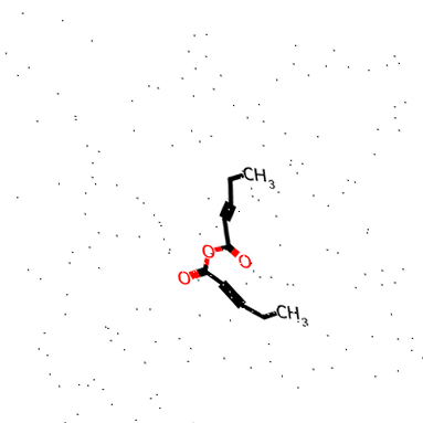 CCC#CC(=O)OC(=O)C#CCC